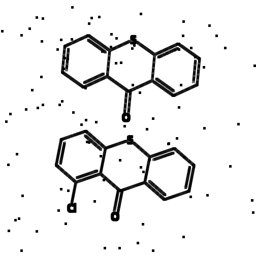 O=c1c2ccccc2sc2cccc(Cl)c12.O=c1c2ccccc2sc2ccccc12